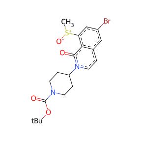 C[S+]([O-])c1cc(Br)cc2ccn(C3CCN(C(=O)OC(C)(C)C)CC3)c(=O)c12